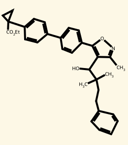 CCOC(=O)C1(c2ccc(-c3ccc(-c4onc(C)c4C(O)C(C)(C)CCc4ccccc4)cc3)cc2)CC1